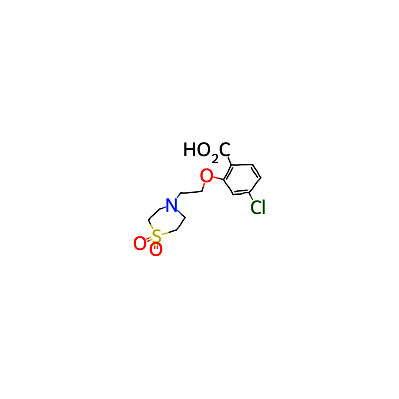 O=C(O)c1ccc(Cl)cc1OCCN1CCS(=O)(=O)CC1